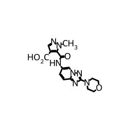 Cn1ncc(C(=O)O)c1C(=O)Nc1ccc2nc(N3CCOCC3)nn2c1